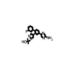 CC(C)(O)Cn1cc(-c2cc(-c3cnc(N)cn3)ccc2-c2cccc(F)c2)cn1